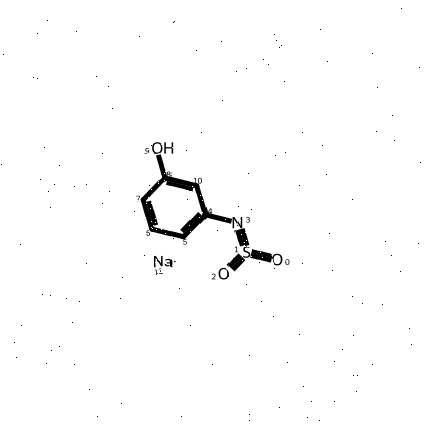 O=S(=O)=Nc1cccc(O)c1.[Na]